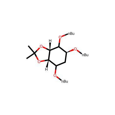 CCCCOC1[C@@H](OCCCC)CC(OCCCC)[C@@H]2OC(C)(C)O[C@H]12